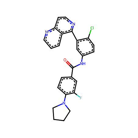 O=C(Nc1ccc(Cl)c(-c2nccc3ncccc23)c1)c1ccc(N2CCCC2)c(F)c1